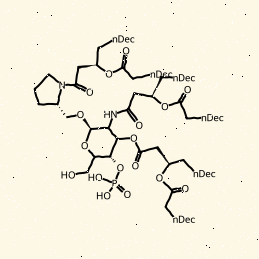 CCCCCCCCCCCC(=O)O[C@H](CCCCCCCCCCC)CC(=O)NC1C(OC(=O)C[C@@H](CCCCCCCCCCC)OC(=O)CCCCCCCCCCC)[C@H](OP(=O)(O)O)C(CO)O[C@H]1OC[C@@H]1CCCN1C(=O)C[C@@H](CCCCCCCCCCC)OC(=O)CCCCCCCCCCC